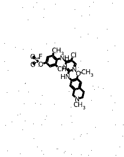 COc1cc2c(cc1Nc1ncc(Cl)c(Nc3c(C)cc(OS(=O)(=O)F)cc3C)n1)CN(C)CC2